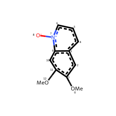 COc1cc2ccc[n+]([O-])c2cc1OC